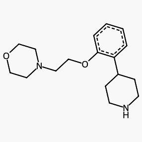 c1ccc(C2CCNCC2)c(OCCN2CCOCC2)c1